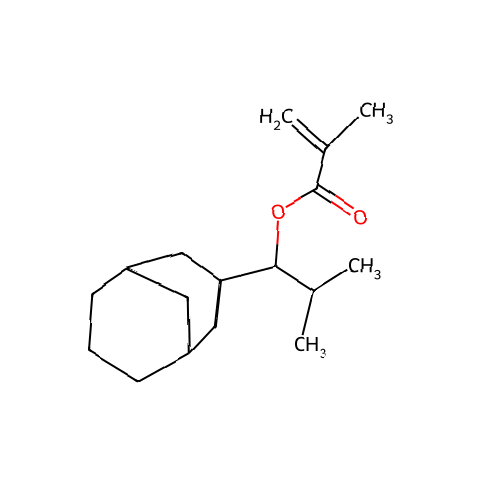 C=C(C)C(=O)OC(C(C)C)C1CC2CCCC(C2)C1